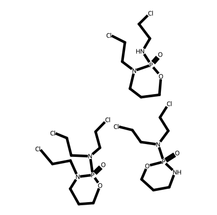 O=P1(N(CCCl)CCCl)NCCCO1.O=P1(N(CCCl)CCCl)OCCCN1CCCl.O=P1(NCCCl)OCCCN1CCCl